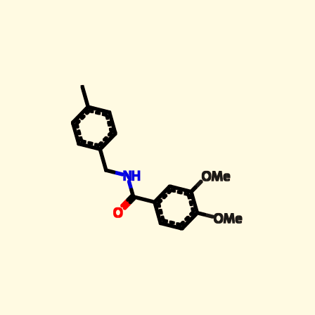 COc1ccc(C(=O)NCc2ccc(C)cc2)cc1OC